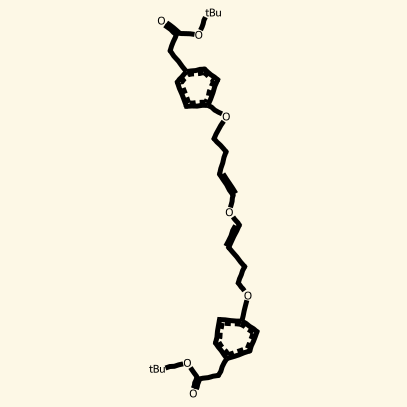 CC(C)(C)OC(=O)Cc1ccc(OCCC=COC=CCCOc2ccc(CC(=O)OC(C)(C)C)cc2)cc1